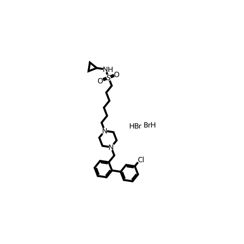 Br.Br.O=S(=O)(CCCCCCN1CCN(Cc2ccccc2-c2cccc(Cl)c2)CC1)NC1CC1